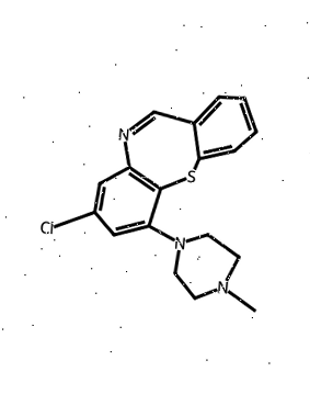 CN1CCN(c2cc(Cl)cc3c2Sc2ccccc2C=N3)CC1